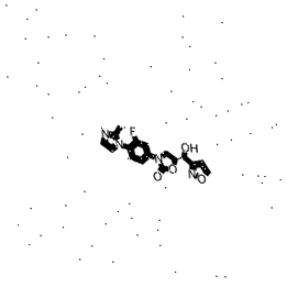 Cc1nccn1-c1ccc(N2C[C@H](C(O)c3ccon3)OC2=O)cc1F